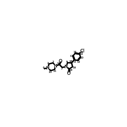 CN1CCN(C(=O)CN2CC(c3ccc(Cl)cc3)CC2=O)CC1